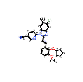 COc1cccc(/C=C/c2nc3cc(Cl)c(C)cc3n2-c2ccc(C#N)cn2)c1OC1CCCC1